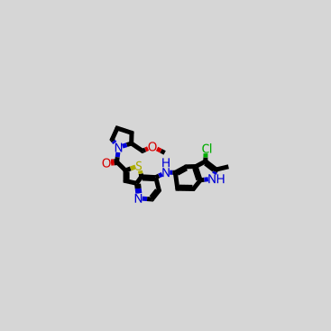 COCC1CCCN1C(=O)c1cc2nccc(Nc3ccc4[nH]c(C)c(Cl)c4c3)c2s1